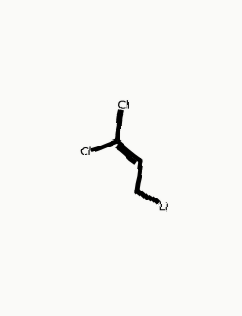 [Li][CH2]C=C(Cl)Cl